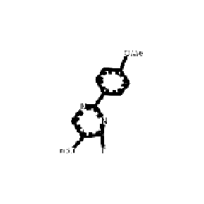 CCCCc1cnc(-c2ccc(OC)cc2)nc1F